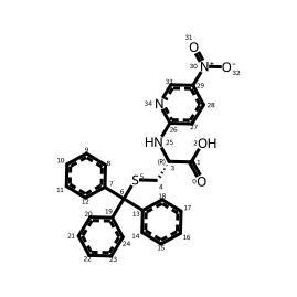 O=C(O)[C@H](CSC(c1ccccc1)(c1ccccc1)c1ccccc1)Nc1ccc([N+](=O)[O-])cn1